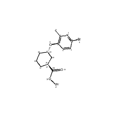 Cc1nc(Br)ccc1O[C@H]1CCC[C@H](C(=O)OC(C)C)C1